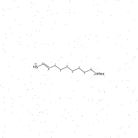 CCCCCCCCCCCCC/C=C/S